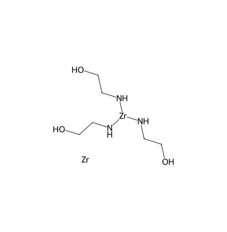 OCC[NH][Zr]([NH]CCO)[NH]CCO.[Zr]